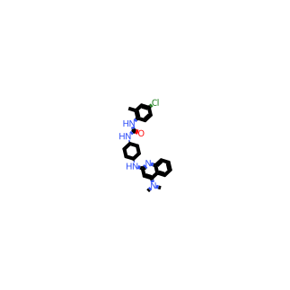 Cc1cc(Cl)ccc1NC(=O)N[C@H]1CC[C@@H](Nc2cc(N(C)C)c3ccccc3n2)CC1